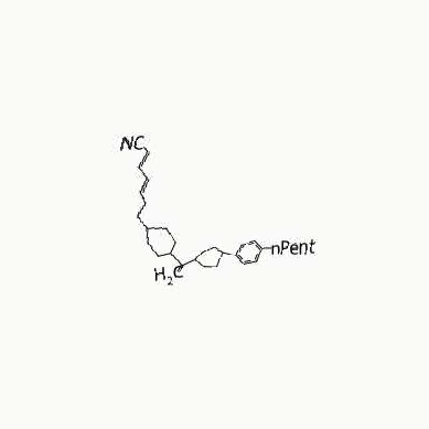 C=C(C1CCC(CCC=CC=CC#N)CC1)C1CCC(c2ccc(CCCCC)cc2)CC1